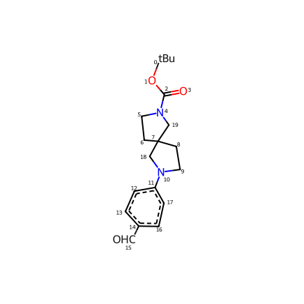 CC(C)(C)OC(=O)N1CCC2(CCN(c3ccc(C=O)cc3)C2)C1